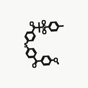 COc1ccc(C(=O)c2ccc(Sc3ccc(C(=O)C(C)(C)S(=O)(=O)c4ccc(C)cc4)cc3)cc2)cc1